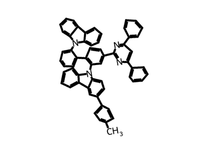 Cc1ccc(-c2ccc3c(c2)c2ccccc2n3-c2cc(-c3nc(-c4ccccc4)cc(-c4ccccc4)n3)ccc2-c2ccccc2-n2c3ccccc3c3ccccc32)cc1